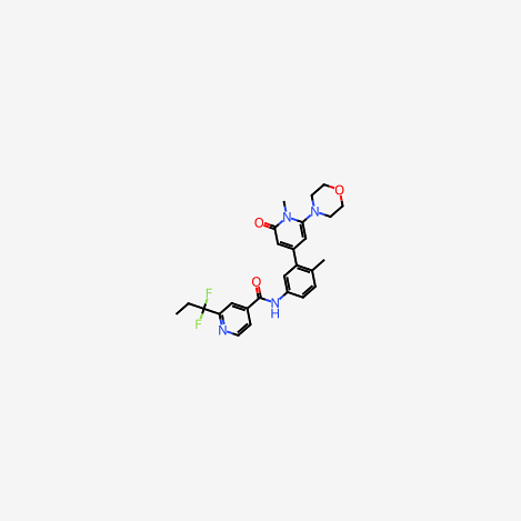 CCC(F)(F)c1cc(C(=O)Nc2ccc(C)c(-c3cc(N4CCOCC4)n(C)c(=O)c3)c2)ccn1